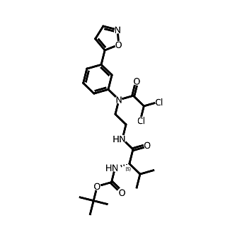 CC(C)[C@H](NC(=O)OC(C)(C)C)C(=O)NCCN(C(=O)C(Cl)Cl)c1cccc(-c2ccno2)c1